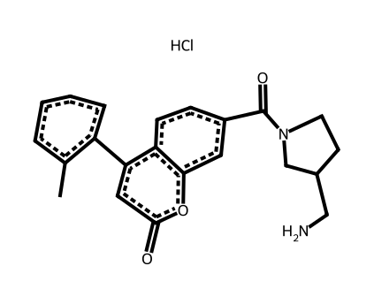 Cc1ccccc1-c1cc(=O)oc2cc(C(=O)N3CCC(CN)C3)ccc12.Cl